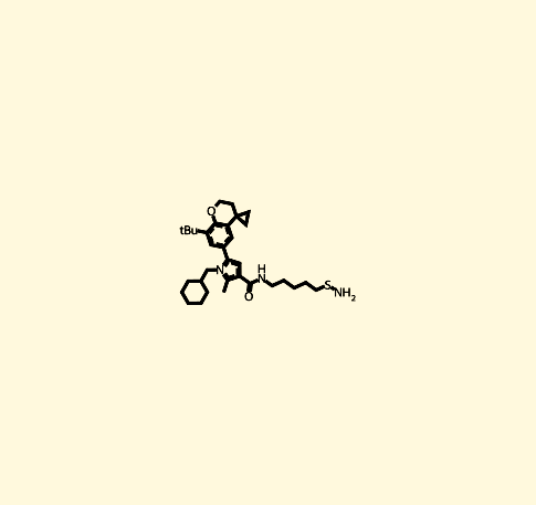 Cc1c(C(=O)NCCCCCSN)cc(-c2cc(C(C)(C)C)c3c(c2)C2(CCO3)CC2)n1CC1CCCCC1